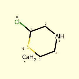 ClC1[CH2][AlH][CH2]CS1.[CaH2]